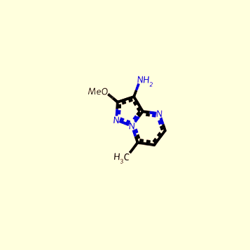 COc1nn2c(C)ccnc2c1N